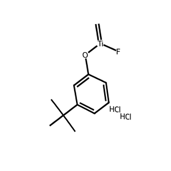 Cl.Cl.[CH2]=[Ti]([F])[O]c1cccc(C(C)(C)C)c1